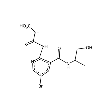 CC(CO)NC(=O)c1cc(Br)cnc1NC(=S)NC(=O)O